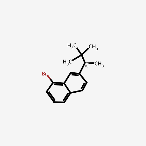 C[C@@H](c1ccc2cccc(Br)c2c1)C(C)(C)C